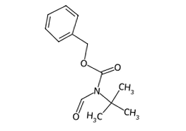 CC(C)(C)N(C=O)C(=O)OCc1ccccc1